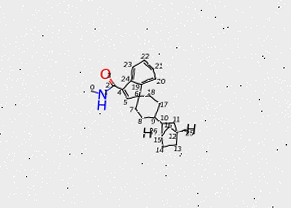 CNC(=O)C1=CC2(CCC(C3C[C@@H]4CC[C@@H]3C4)CC2)c2ccccc21